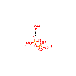 O=P(O)(O)OP(=O)(O)OCCO